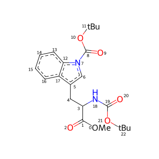 COC(=O)C(Cc1cn(C(=O)OC(C)(C)C)c2ccccc12)NC(=O)OC(C)(C)C